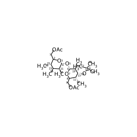 CC(=O)OCC1O[C@H](O[C@H]2OC(COC(C)=O)[C@@H](C)[C@@H](O[Si](C)(C)C)C2C)[C@@H](C)C(C)[C@@H]1C